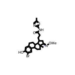 CO/N=C1\CC(CCC(=O)Nc2ncc(C)s2)C2C3CCc4cc(O)c(Br)cc4C3CCC12C